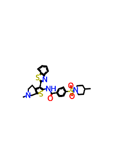 CC1CCN(S(=O)(=O)c2ccc(C(=O)Nc3sc4c(c3-c3nc5ccccc5s3)CCN(C)C4)cc2)CC1